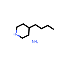 CCCCC1CCNCC1.N